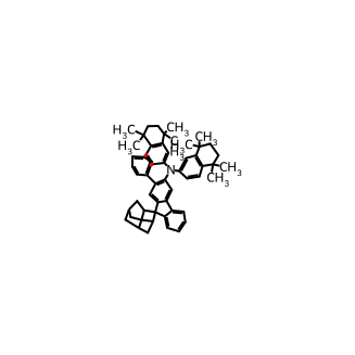 CC1(C)CCC(C)(C)c2cc(N(c3ccc4c(c3)C(C)(C)CCC4(C)C)c3cc4c(cc3-c3ccccc3)C3(c5ccccc5-4)C4CC5CC6CC3C64C5)ccc21